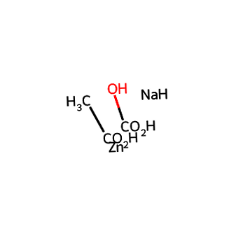 CC(=O)O.O=C(O)O.[NaH].[Zn]